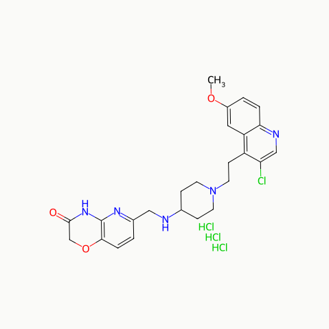 COc1ccc2ncc(Cl)c(CCN3CCC(NCc4ccc5c(n4)NC(=O)CO5)CC3)c2c1.Cl.Cl.Cl